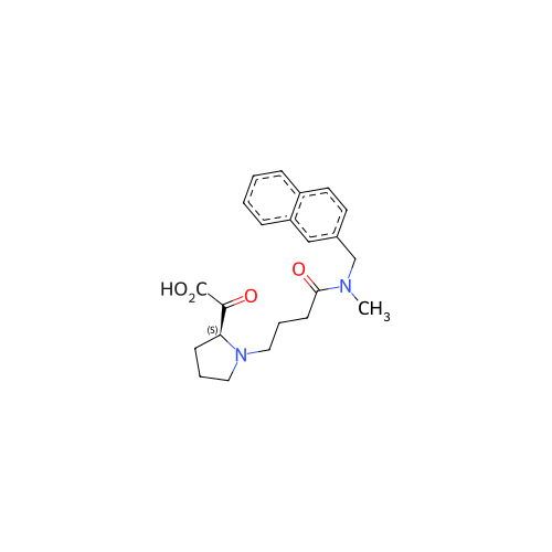 CN(Cc1ccc2ccccc2c1)C(=O)CCCN1CCC[C@H]1C(=O)C(=O)O